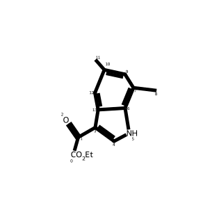 CCOC(=O)C(=O)c1c[nH]c2c(C)cc(C)cc12